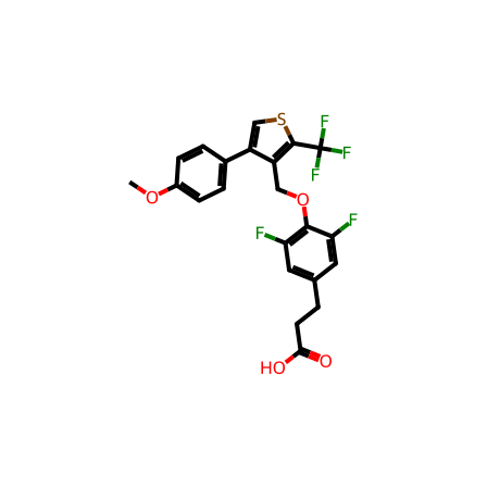 COc1ccc(-c2csc(C(F)(F)F)c2COc2c(F)cc(CCC(=O)O)cc2F)cc1